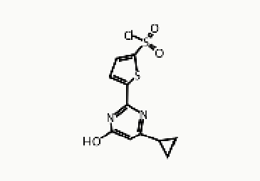 O=S(=O)(Cl)c1ccc(-c2nc(O)cc(C3CC3)n2)s1